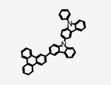 C1=Cc2c(c3ccc(-c4ccc5c(c4)c4ccccc4n5-c4ccc5c(c4)c4ccccc4n5-c4ccccc4)cc3c3ccccc23)CC1